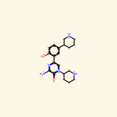 Nc1nc(-c2cc(C3CCCNC3)ccc2O)cn(C2CCCNC2)c1=O